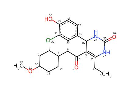 CCC1=C(C(=O)CC2CCC(OC)CC2)C(c2ccc(O)c(Cl)c2)NC(=O)N1